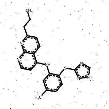 CCCc1ccc2c(Nc3cc(C)ccc3Sc3nc[nH]n3)ccnc2n1